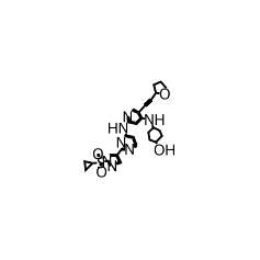 O=S(=O)(C1CC1)n1cc(-c2nccc(Nc3cc(NC4CCC(O)CC4)c(C#CC4CCCO4)cn3)n2)cn1